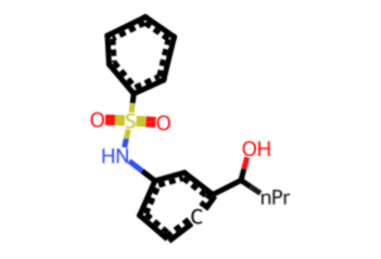 CCCC(O)c1cccc(NS(=O)(=O)c2ccccc2)c1